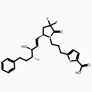 C[C@H](CCc1ccccc1)[C@@H](O)C=C[C@H]1CC(F)(F)C(=O)N1CCCc1ccc(C(=O)O)s1